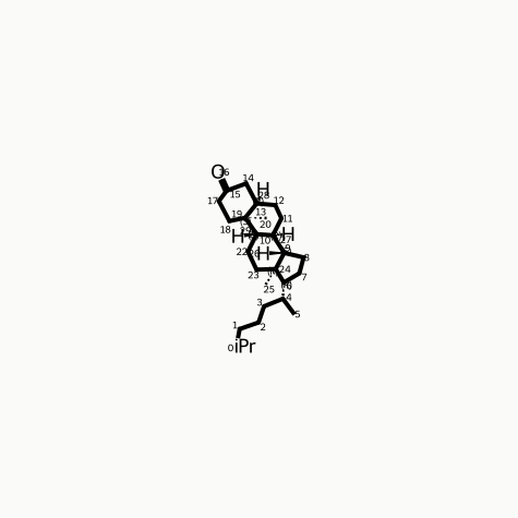 CC(C)CCCC(C)[C@H]1CC[C@H]2[C@@H]3CC[C@@H]4CC(=O)CC[C@]4(C)[C@H]3CC[C@]12C